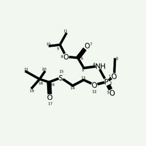 COP(=O)(NCC(=O)OC(C)C)OCCSC(=O)C(C)(C)C